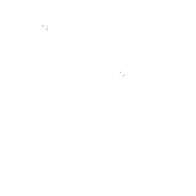 CCCCCCCCCCCC(Cc1ccccc1)N(C)C.I